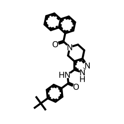 CC(C)(C)c1ccc(C(=O)Nc2[nH]nc3c2CN(C(=O)c2cccc4ccccc24)CC3)cc1